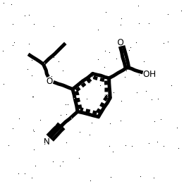 CC(C)Oc1cc(C(=O)O)ccc1C#N